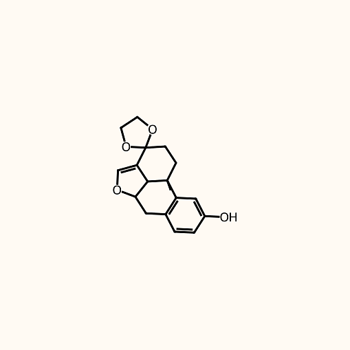 CC12CCC3(OCCO3)C3=COC(Cc4ccc(O)cc41)C32